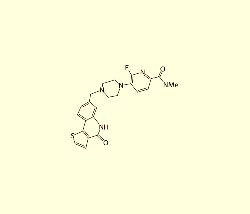 CNC(=O)c1ccc(N2CCN(Cc3ccc4c(c3)[nH]c(=O)c3ccsc34)CC2)c(F)n1